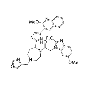 COc1ccc2nc(C(F)(F)F)n(CC(=O)N3CCN(Cc4cocn4)CCC3c3ncc(-c4cc5ccccc5nc4OC)[nH]3)c2c1